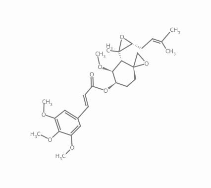 COc1cc(/C=C/C(=O)O[C@@H]2CC[C@]3(CO3)[C@@H](C3(C)O[C@@H]3CC=C(C)C)[C@@H]2OC)cc(OC)c1OC